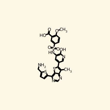 COc1ccc(S(=O)(=O)Nc2cc(-c3sc4c(-c5ccc(CN)s5)ncnc4c3C)cnc2O)cc1C(=O)O